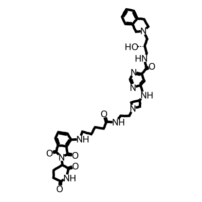 O=C(CCCCNc1cccc2c1C(=O)N(C1CCC(=O)NC1=O)C2=O)NCCN1CC(Nc2cc(C(=O)NC[C@H](O)CN3CCc4ccccc4C3)ncn2)C1